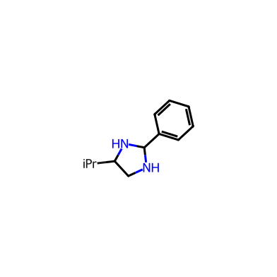 CC(C)C1CNC(c2ccccc2)N1